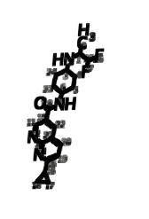 CC(NC1CCC(NC(=O)c2cnc3nc(C4CC4)ccc3c2)CC1)C(F)F